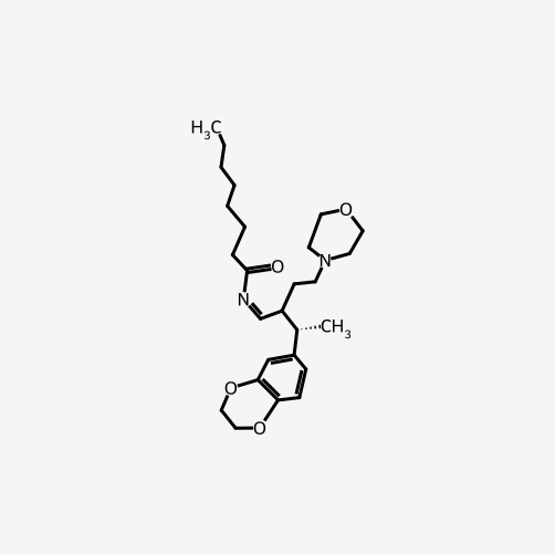 CCCCCCCC(=O)/N=C\C(CCN1CCOCC1)[C@H](C)c1ccc2c(c1)OCCO2